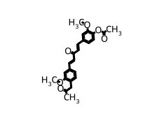 COc1cc(/C=C/C(=O)/C=C/c2ccc(OC(C)=O)c(OC)c2)ccc1CC(C)=O